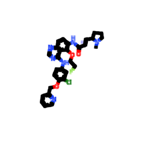 CN1CCCC1/C=C/C(=O)Nc1ccc2ncnc(Nc3ccc(OCc4ccccn4)c(Cl)c3)c2c1OCCF